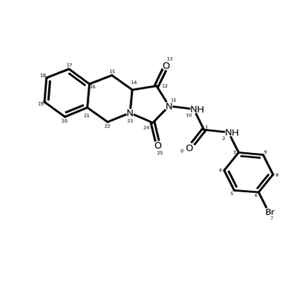 O=C(Nc1ccc(Br)cc1)NN1C(=O)C2Cc3ccccc3CN2C1=O